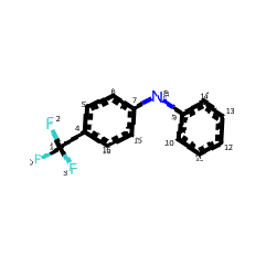 FC(F)(F)c1ccc([N]c2ccccc2)cc1